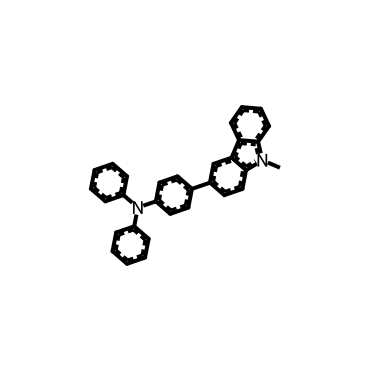 Cn1c2ccccc2c2cc(-c3ccc(N(c4ccccc4)c4ccccc4)cc3)ccc21